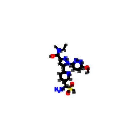 CCN(C)C(=O)c1cc(-c2ccc(C(N)S(C)(=O)=O)cn2)n(-c2ccc(OC)nn2)n1